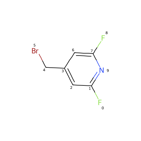 Fc1cc(CBr)cc(F)n1